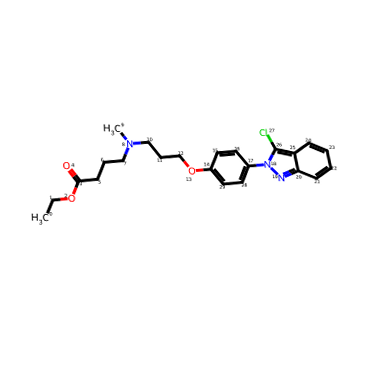 CCOC(=O)CCCN(C)CCCOc1ccc(-n2nc3ccccc3c2Cl)cc1